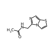 CC(=O)NCc1ncc2sccn12